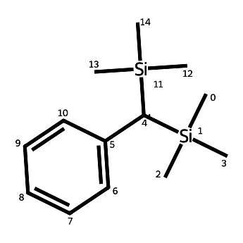 C[Si](C)(C)[C](c1ccccc1)[Si](C)(C)C